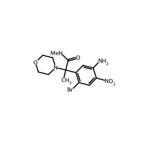 CNC(=O)C(C)(c1cc(N)c([N+](=O)[O-])cc1Br)N1CCOCC1